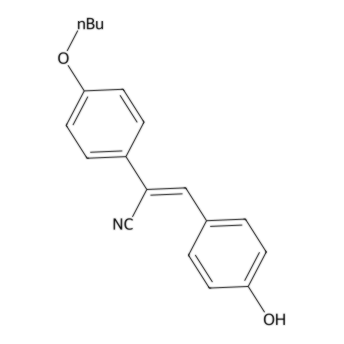 CCCCOc1ccc(/C(C#N)=C/c2ccc(O)cc2)cc1